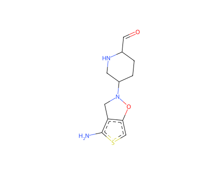 Nc1scc2c1CN(C1CCC(C=O)NC1)O2